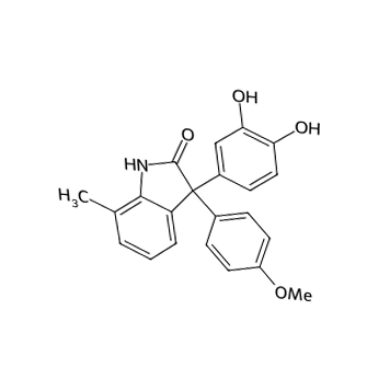 COc1ccc(C2(c3ccc(O)c(O)c3)C(=O)Nc3c(C)cccc32)cc1